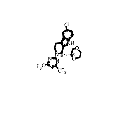 FC(F)(F)c1nc(N2CCc3c([nH]c4ccc(Cl)cc34)[C@@H]2C[C@@H]2COCCO2)nc(C(F)(F)F)n1